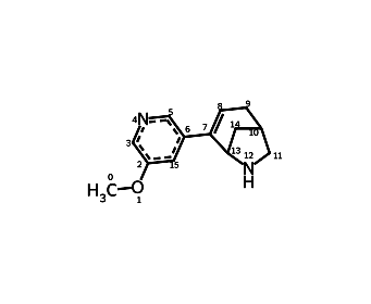 COc1cncc(C2=CCC3CNC2C3)c1